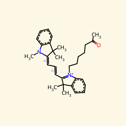 CC(=O)CCCCC[N+]1=C(/C=C/C=C2/N(C)c3ccccc3C2(C)C)C(C)(C)c2ccccc21